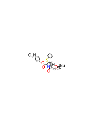 C[C@@H](O[Si](C)(C)C(C)(C)C)[C@H]1C(=O)N2C(C(=O)OCc3ccc([N+](=O)[O-])cc3)=C(Sc3ccccc3)[C@H](C)[C@H]12